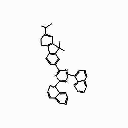 CC(C)C1=CC2=C(CC1)c1ccc(-c3nc(-c4cccc5ccccc45)nc(-c4cccc5ccccc45)n3)cc1C2(C)C